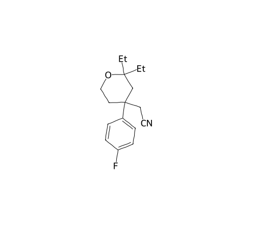 CCC1(CC)CC(CC#N)(c2ccc(F)cc2)CCO1